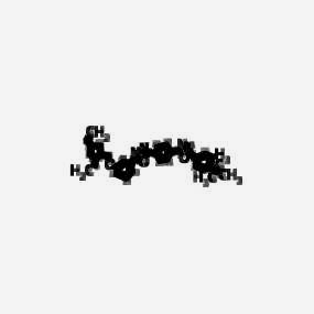 C=CC1CC(C=C)C(COc2cccc(-c3nnc(-c4ccc(-c5nnc(-c6ccc(C(C)(C)C)cc6)o5)cc4)o3)c2)C1